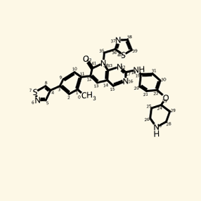 Cc1cc(-c2cnsc2)ccc1-c1cc2cnc(Nc3ccc(OC4CCNCC4)cc3)nc2n(Cc2nccs2)c1=O